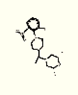 CC(C1CCN(c2c(F)cccc2[N+](=O)[O-])CC1)N1C[C@@H](C)O[C@@H](C)C1